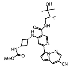 COC(=O)N[C@H]1C[C@@H](Nc2cc(-c3ccc4cc(C#N)cnn34)ncc2C(=O)NC[C@@H](F)C(C)(C)O)C1